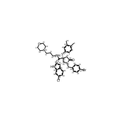 Cc1ccc(S[C@]2(C(=O)NCCCN3CCOCC3)CC(=O)N(Cc3ccc(Br)cc3)[C@@H]2c2c[nH]c3cc(Cl)ccc23)cc1C